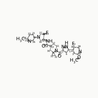 COc1cc(-c2cc(C(=O)N3CC[C@H](C(=O)N[C@H]4CN(c5ccc(C)nc5)C[C@H]4F)CC34CC4)n[nH]2)c(F)cn1